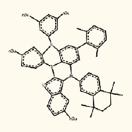 CCCCc1cc(CCCC)cc(N2c3cc(CCCC)ccc3B3c4sc5ccc(CCCC)cc5c4N(c4ccc5c(c4)C(C)(C)CCC5(C)C)c4cc(-c5c(C)cccc5C)cc2c43)c1